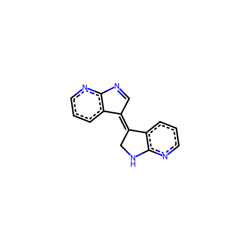 C1=Nc2ncccc2C1=C1CNc2ncccc21